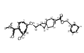 CN(C)C(=O)c1ccc(OCC2CC3(CCN(C(=O)OCc4ccccc4)CC3)C2)cc1Cl